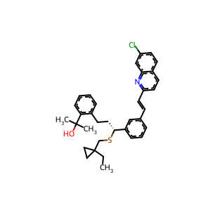 CCC1(CS[C@H](CCc2ccccc2C(C)(C)O)c2cccc(/C=C/c3ccc4ccc(Cl)cc4n3)c2)CC1